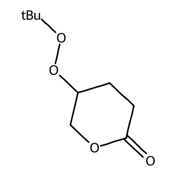 CC(C)(C)OOC1CCC(=O)OC1